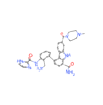 CN1CCN(C(=O)c2ccc3c(c2)[nH]c2c(C(N)=O)ccc(-c4cccc(NC(=O)c5ncc[nH]5)c4CN)c23)CC1